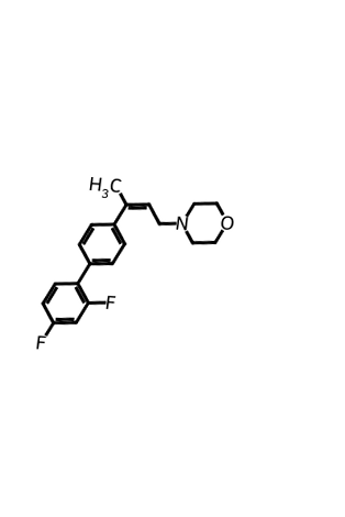 CC(=CCN1CCOCC1)c1ccc(-c2ccc(F)cc2F)cc1